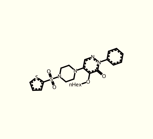 CCCCCCOc1c(N2CCN(S(=O)(=O)c3cccs3)CC2)cnn(-c2ccccc2)c1=O